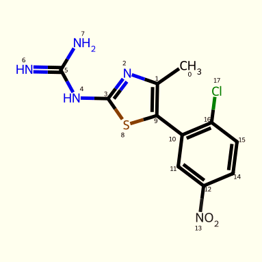 Cc1nc(NC(=N)N)sc1-c1cc([N+](=O)[O-])ccc1Cl